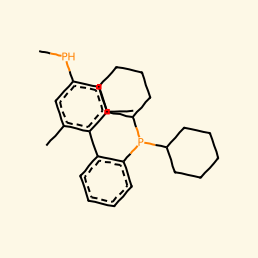 CPc1cc(C)c(-c2ccccc2P(C2CCCCC2)C2CCCCC2)c(C)c1